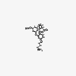 COC1C=CC2C(=C1)Oc1cc(OCCCN)ccc1C21OC(=O)c2ccccc21